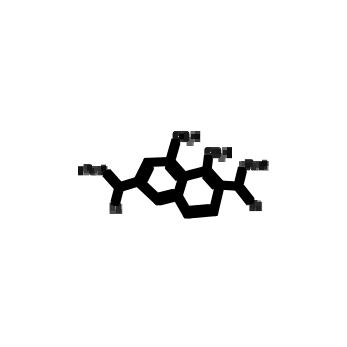 CCCCCC(CC)c1cc(C(=O)O)c2c(C(=O)O)c(C(CC)CCCCC)ccc2c1